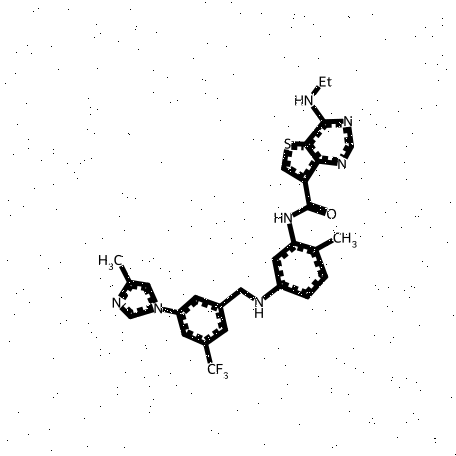 CCNc1ncnc2c(C(=O)Nc3cc(NCc4cc(-n5cnc(C)c5)cc(C(F)(F)F)c4)ccc3C)csc12